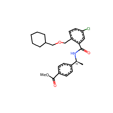 COC(=O)c1ccc([C@H](C)NC(=O)c2cc(Cl)ccc2COCC2CCCCC2)cc1